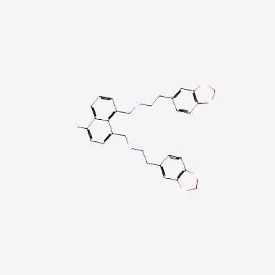 O=Cc1ccc(CNCCc2ccc3c(c2)OCO3)c2c(CNCCc3ccc4c(c3)OCO4)cccc12